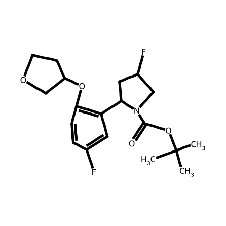 CC(C)(C)OC(=O)N1CC(F)CC1c1cc(F)ccc1OC1CCOC1